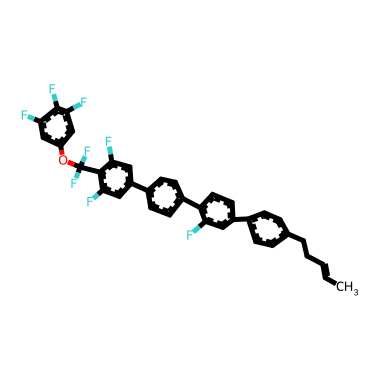 C/C=C/CCc1ccc(-c2ccc(-c3ccc(-c4cc(F)c(C(F)(F)Oc5cc(F)c(F)c(F)c5)c(F)c4)cc3)c(F)c2)cc1